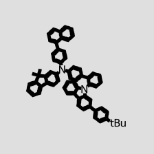 CC(C)(C)c1ccc(-c2ccc3c4ccccc4n(-c4ccccc4-c4ccc(N(c5ccc(-c6cccc7ccccc67)cc5)c5ccc6c(c5)C(C)(C)c5ccccc5-6)cc4)c3c2)cc1